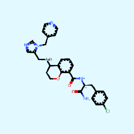 NC(=O)[C@H](Cc1ccc(Cl)cc1)NC(=O)c1cccc2c1OCCC2[AsH]Cc1cncn1Cc1ccncc1